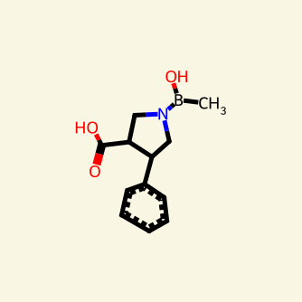 CB(O)N1CC(C(=O)O)C(c2ccccc2)C1